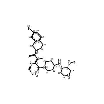 C=C(/C(C)=C(\N=C/N)C(=O)N1CCC(N[C@H]2CCOC[C@H]2OC)CC1)N1CCc2ccc(F)cc2C1